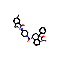 COC(=O)[C@]1(c2ccccc2)CC[C@@H](C(=O)N2CCC(NC(=O)c3cc(C)ccc3OC)CC2)c2ccccc21